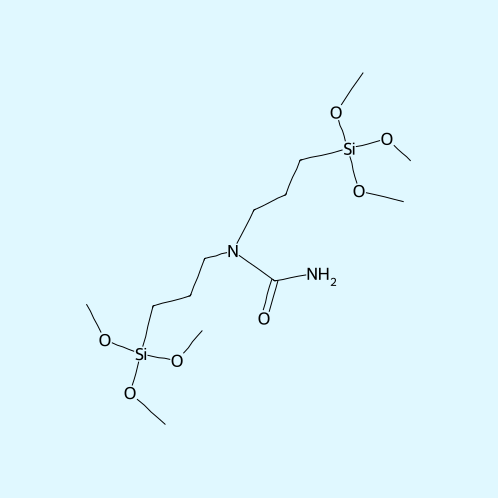 CO[Si](CCCN(CCC[Si](OC)(OC)OC)C(N)=O)(OC)OC